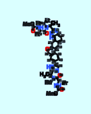 CCC(NC(=O)OC)C(=O)N(C(CC)CC)[C@@H](C)c1nc2ccc3cc4c(cc3c2[nH]1)OCc1cc(-c2cnc([C@H](C)N(C(=O)[C@@H](NC(=O)OC)C(C)C)[C@@H](C)CC)[nH]2)ccc1-4